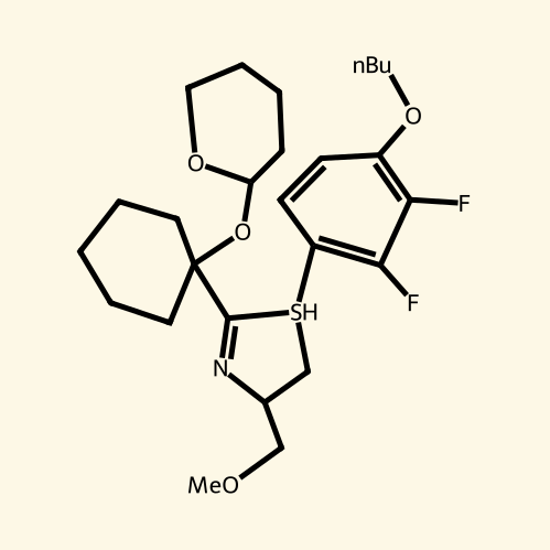 CCCCOc1ccc([SH]2CC(COC)N=C2C2(OC3CCCCO3)CCCCC2)c(F)c1F